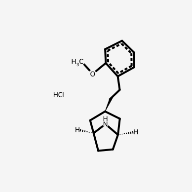 COc1ccccc1CC[C@H]1C[C@H]2CC[C@@H](C1)N2.Cl